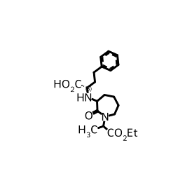 CCOC(=O)C(C)N1CCCCC(N[C@@H](CCc2ccccc2)C(=O)O)C1=O